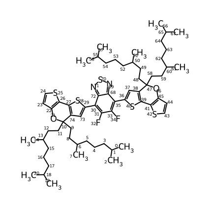 CC(C)CCCC(C)CCC1(CCC(C)CCCC(C)C)Oc2ccsc2-c2sc(-c3c(F)c(F)c(-c4cc5c(s4)-c4sccc4OC5(CCC(C)CCCC(C)C)CCC(C)CCCC(C)C)c4nsnc34)cc21